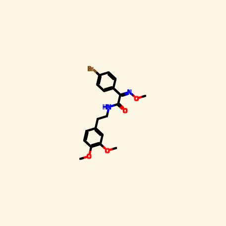 CO/N=C(\C(=O)NCCc1ccc(OC)c(OC)c1)c1ccc(Br)cc1